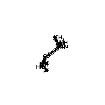 Cc1ncsc1-c1ccc(CNC(=O)[C@@H]2CC(O)CN2C(=O)[C@@H](NC(=O)CCOCCOCCOCCOCCOCCC(=O)N2CCN(c3ccc(C(=O)Nc4n[nH]c5ccc(Cc6cc(F)cc(F)c6)cc45)c(NC4CCOCC4)c3)CC2)C(C)(C)C)cc1